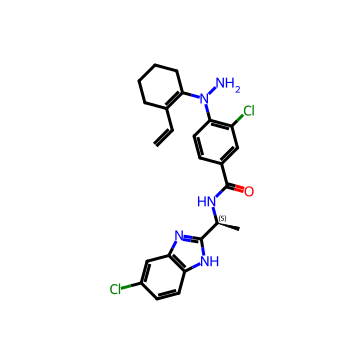 C=CC1=C(N(N)c2ccc(C(=O)N[C@@H](C)c3nc4cc(Cl)ccc4[nH]3)cc2Cl)CCCC1